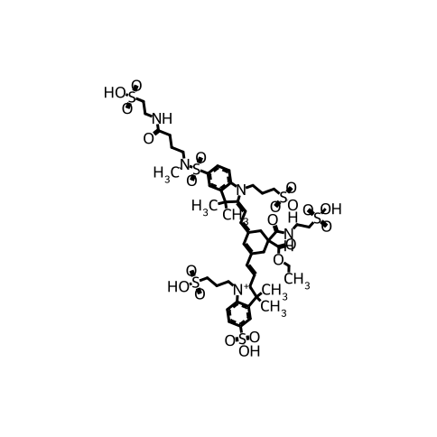 CCOC(=O)C1(C(=O)NCCS(=O)(=O)O)CC(/C=C/C2=[N+](CCCS(=O)(=O)O)c3ccc(S(=O)(=O)O)cc3C2(C)C)=CC(=C/C=C2/N(CCCS(=O)(=O)O)c3ccc(S(=O)(=O)N(C)CCCC(=O)NCCS(=O)(=O)O)cc3C2(C)C)/C1